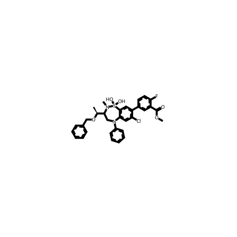 COC(=O)c1cc(-c2cc3c(cc2Cl)N(c2ccccc2)CC([C@H](C)OCc2ccccc2)N(C)S3(O)O)ccc1F